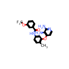 Cc1ccc(NC(=O)c2cccc(OC(F)(F)F)c2)cc1Oc1ccnc(N)c1N